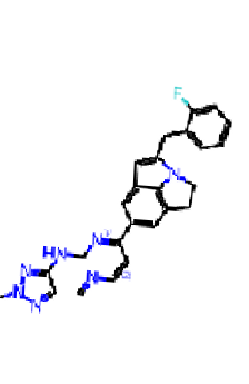 C=N/C=C\C(=N/CNc1cnn(C)n1)c1cc2c3c(c1)cc(Cc1ccccc1F)n3CC2